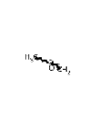 C=C=CC(=O)OCCCCCC